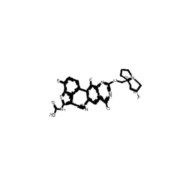 N#Cc1c(NC(=O)O)sc2c(F)ccc(-c3c(Cl)cc4c(Cl)nc(OC[C@@]56CCCN5C[C@H](F)C6)nc4c3F)c12